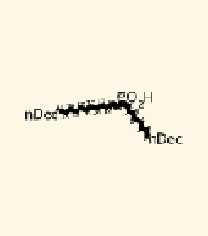 CCCCCCCCCCCCCCCCCC=C(C=CCCCCCCCCCCCCCCCCCCCC)C(=O)O